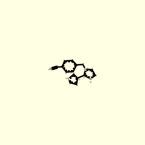 N#Cc1ccc(Cn2ccnc2-c2ccsc2)cc1